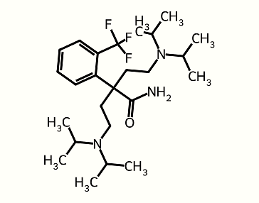 CC(C)N(CCC(CCN(C(C)C)C(C)C)(C(N)=O)c1ccccc1C(F)(F)F)C(C)C